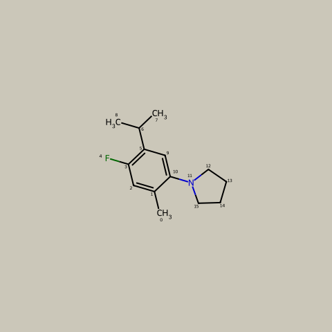 Cc1cc(F)c(C(C)C)cc1N1CCCC1